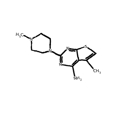 Cc1csc2nc(N3CCN(C)CC3)nc(N)c12